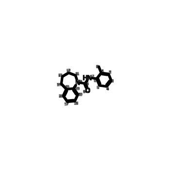 Cc1ccccc1NC(=O)N1CCCCc2ccccc21